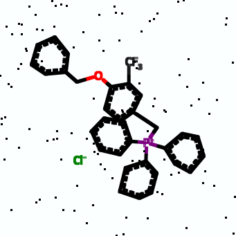 FC(F)(F)c1cc(C[P+](c2ccccc2)(c2ccccc2)c2ccccc2)ccc1OCc1ccccc1.[Cl-]